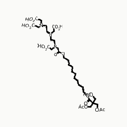 CC(=O)OCC(COC(C)=O)(COC(C)=O)C(=O)OCCCCCCCCCCCOC(=O)CN(CCN(CCN(CC(=O)O)CC(=O)O)CC(=O)O)CC(=O)O